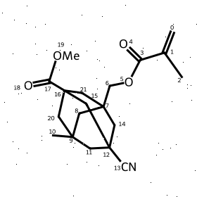 C=C(C)C(=O)OCC12CC3(C)CC(C#N)(C1)CC(C(=O)OC)(C3)C2